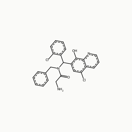 NCC(=O)N(Cc1ccccc1)C(c1ccccc1Cl)c1cc(Cl)c2cccnc2c1O